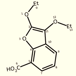 CCOc1oc2c(C(=O)O)cccc2c1OCC